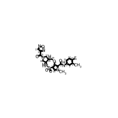 Cc1cc(NC(=O)c2c3c(cn2C)S(=O)(=O)N[C@H]2CN(C(=O)c4cnon4)C[C@H]2CO3)ccc1F